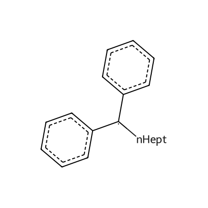 CCCCCCC[C](c1ccccc1)c1ccccc1